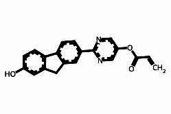 C=CC(=O)Oc1cnc(-c2ccc3c(c2)Cc2cc(O)ccc2-3)nc1